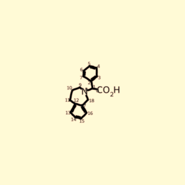 O=C(O)C(c1ccccc1)N1CCCc2ccccc2C1